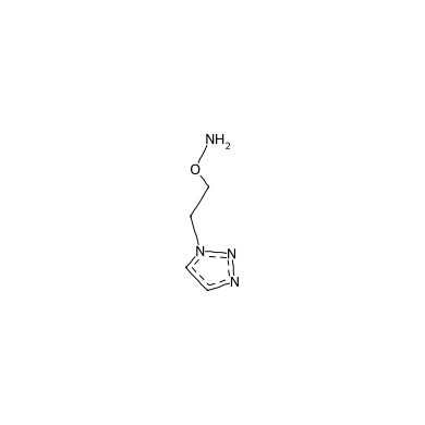 NOCCn1ccnn1